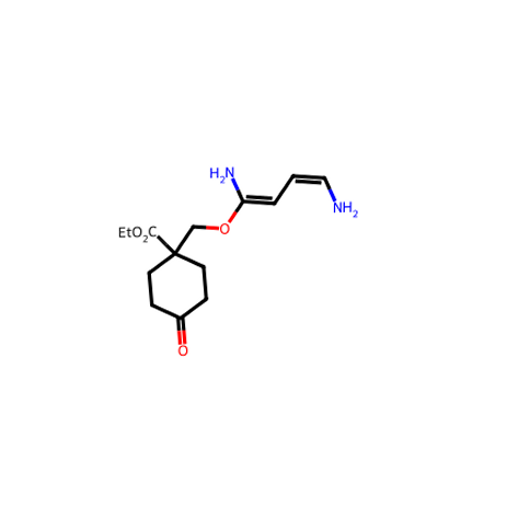 CCOC(=O)C1(CO/C(N)=C/C=C\N)CCC(=O)CC1